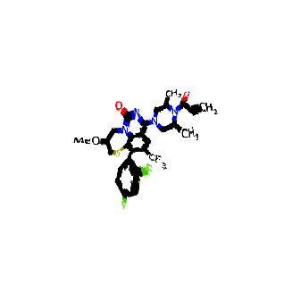 C=CC(=O)N1C(C)CN(c2nc(=O)n3c4c(c(-c5ccc(F)cc5F)c(C(F)(F)F)cc24)SCC(OC)C3)CC1C